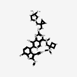 C=Nc1sc2c(F)ccc(-c3ncc4c(N(C)CC5(N(C)C)CCC5)nc(OCC5(CN6CC[C@@](C)(F)C6)CC5)nc4c3F)c2c1C#N